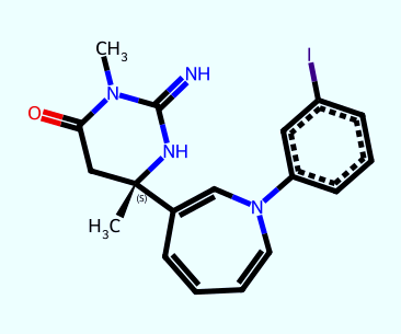 CN1C(=N)N[C@](C)(C2=CN(c3cccc(I)c3)C=CC=C2)CC1=O